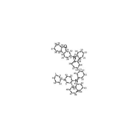 c1ccc(-c2ccc(N(c3cccc(-c4ccc5c(c4)c4ccccc4n5-c4ccc5c(c4)oc4ccccc45)c3)c3cccc4ccccc34)cc2)cc1